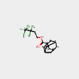 O=C(OCCC(F)(F)C(F)(F)Br)C12CC3CC(CC(C3)C1)C2